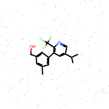 Cc1cc(CO)cc(-c2cc(C(C)C)cnc2C(F)(F)F)c1